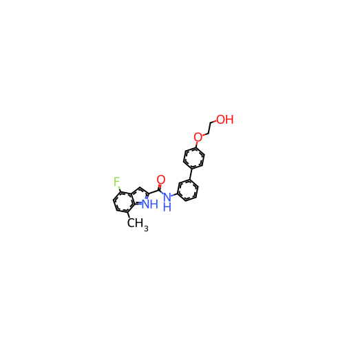 Cc1ccc(F)c2cc(C(=O)Nc3cccc(-c4ccc(OCCO)cc4)c3)[nH]c12